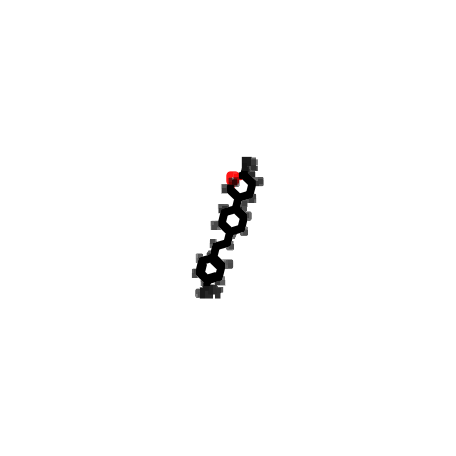 CCCc1ccc(CCC2CCC(C3CCC(CC)OC3)CC2)cc1